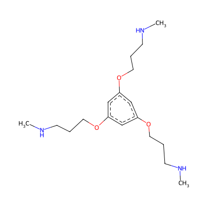 CNCCCOc1cc(OCCCNC)cc(OCCCNC)c1